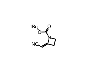 CC(C)(C)OC(=O)N1CCC1=CC#N